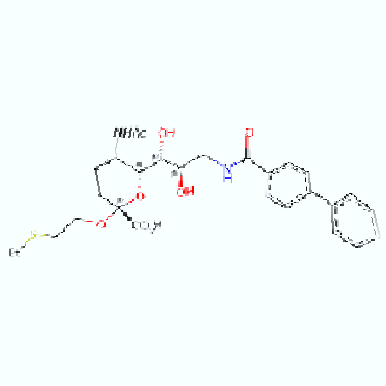 CCSCCO[C@]1(C(=O)O)CCC(NC(C)=O)[C@H]([C@H](O)[C@H](O)CNC(=O)c2ccc(-c3ccccc3)cc2)O1